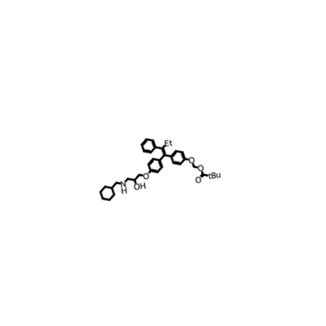 CC/C(=C(\c1ccc(OCOC(=O)C(C)(C)C)cc1)c1ccc(OCC(O)CNCC2CCCCC2)cc1)c1ccccc1